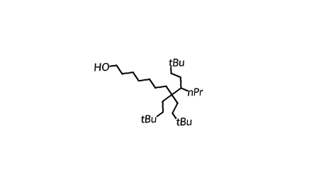 [CH2]CCC(CCC(C)(C)C)C(CCCCCCCO)(CCC(C)(C)C)CCC(C)(C)C